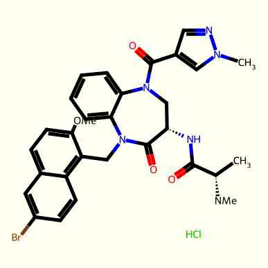 CN[C@@H](C)C(=O)N[C@H]1CN(C(=O)c2cnn(C)c2)c2ccccc2N(Cc2c(OC)ccc3cc(Br)ccc23)C1=O.Cl